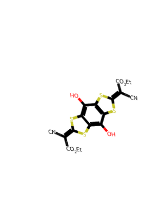 [C-]#[N+]C(C(=O)OCC)=C1Sc2c(O)c3c(c(O)c2S1)SC(=C(C#N)C(=O)OCC)S3